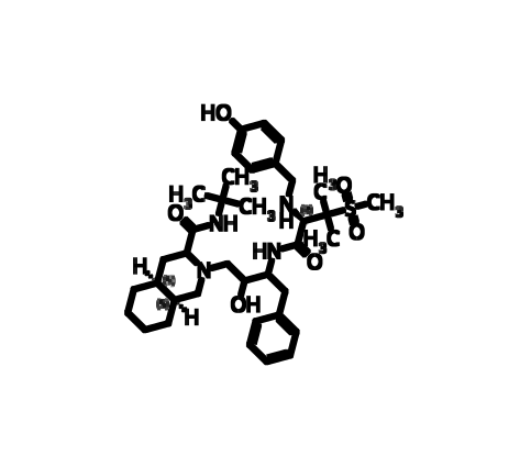 CC(C)(C)NC(=O)C1C[C@@H]2CCCC[C@@H]2CN1CC(O)C(Cc1ccccc1)NC(=O)[C@@H](NCc1ccc(O)cc1)C(C)(C)S(C)(=O)=O